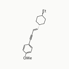 CC[C@H]1CC[C@H](/C=C/C#Cc2ccc(OC)cc2)CC1